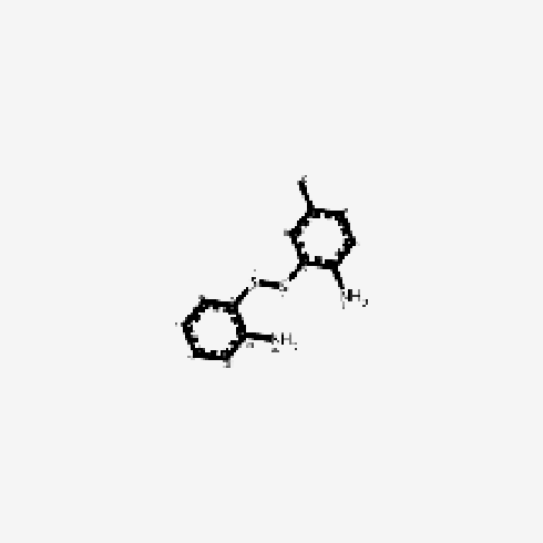 Cc1ccc(N)c(SSc2ccccc2N)c1